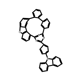 c1cc2cc(c1)c1ccccc1c1ccc3oc4cccc(c5nc(-c6ccc(-n7c8ccccc8c8ccccc87)cc6)nc2n5)c4c3c1